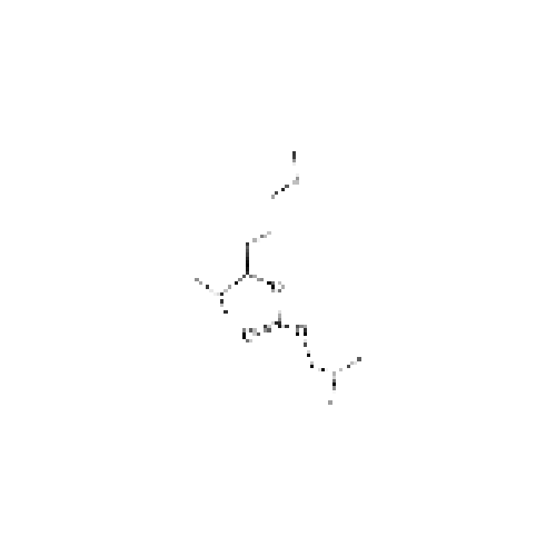 CCCCCC(OC(=O)OCC(C)C)C(C)C